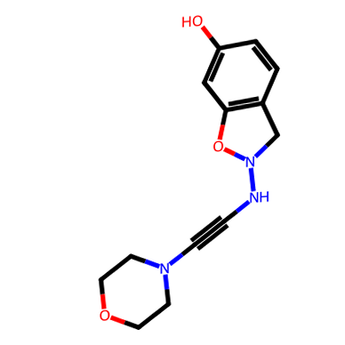 Oc1ccc2c(c1)ON(NC#CN1CCOCC1)C2